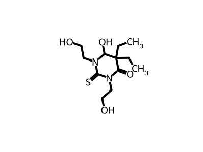 CCC1(CC)C(=O)N(CCO)C(=S)N(CCO)C1O